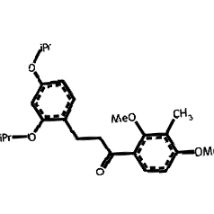 COc1ccc(C(=O)CCc2ccc(OC(C)C)cc2OC(C)C)c(OC)c1C